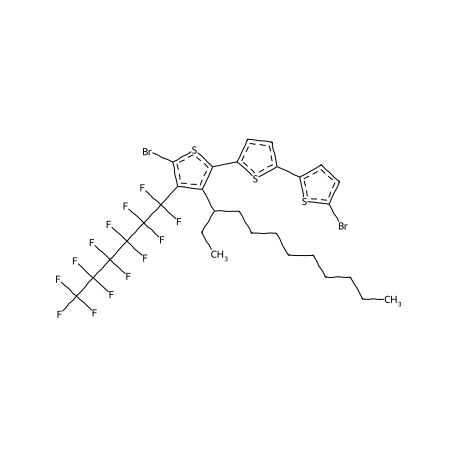 CCCCCCCCCC(CC)c1c(-c2ccc(-c3ccc(Br)s3)s2)sc(Br)c1C(F)(F)C(F)(F)C(F)(F)C(F)(F)C(F)(F)C(F)(F)F